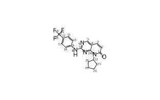 O=c1ccc2cnc(Nc3ccc(C(F)(F)F)cc3)nc2n1C1CCCC1